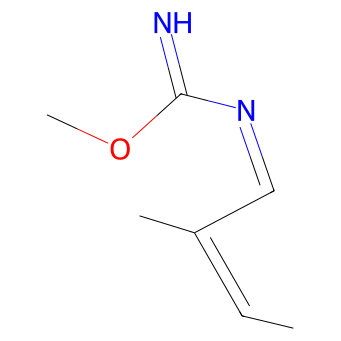 C/C=C(C)\C=N/C(=N)OC